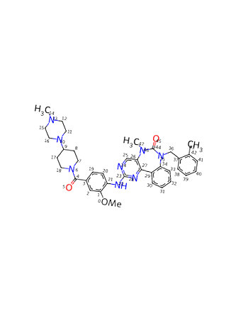 COc1cc(C(=O)N2CCC(N3CCN(C)CC3)CC2)ccc1Nc1ncc2c(n1)-c1ccccc1N(Cc1ccccc1C)C(=O)N2C